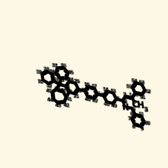 C/C(=C\C(=N/Cc1ccccc1)C1CC=C(c2ccc(C3=CC4=C(CC3)C(C3=CC=CCC3)(c3ccccc3)C3=CC4C=CC=C3)cc2)CC1)C1=CCCC=C1